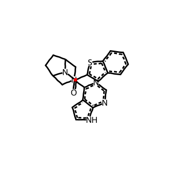 O=C(c1cc2ccccc2s1)N1C2CCC1CN(c1ncnc3[nH]ccc13)C2